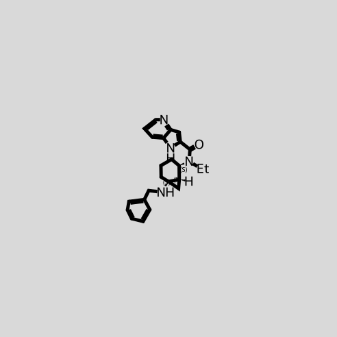 CCN(C(=O)c1cc2ncccc2[nH]1)[C@H]1CCC[C@]2(NCc3ccccc3)C[C@H]12